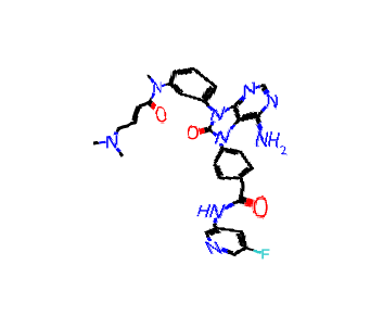 CN(C)CC=CC(=O)N(C)c1cccc(-n2c(=O)n(-c3ccc(C(=O)Nc4cncc(F)c4)cc3)c3c(N)ncnc32)c1